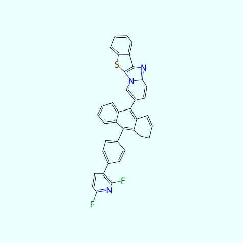 Fc1ccc(-c2ccc(-c3c4c(c(-c5ccc6nc7c8ccccc8sc7n6c5)c5ccccc35)C=CCC4)cc2)c(F)n1